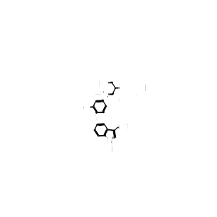 Cc1cc(NC(=O)C(C(=O)O)C(C)O)cc(Cl)c1Oc1ccc2[nH]cc(C(C)C)c2c1